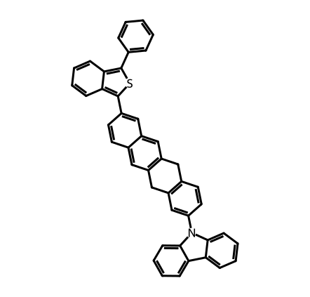 c1ccc(-c2sc(-c3ccc4cc5c(cc4c3)Cc3ccc(-n4c6ccccc6c6ccccc64)cc3C5)c3ccccc23)cc1